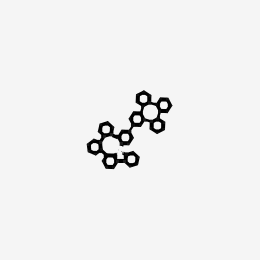 c1ccc2c(c1)-c1ccccc1-c1ccc(-c3ccc4c(c3)c3ccccc3c3ccccc3c3cccc5c6ccccc6n4c35)cc1-c1ccccc1-2